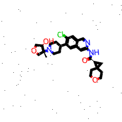 C[C@@]1(N2CCC(c3cc4cc(NC(=O)[C@@H]5CC56CCOCC6)ncc4cc3Cl)CC2)COC[C@@H]1O